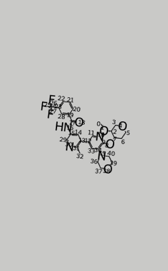 CO[C@H]1COCC[C@@H]1Oc1ncc(-c2cc(NC(=O)c3cccc(C(F)(F)F)c3)cnc2C)cc1N1CCOCC1